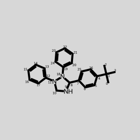 CC(C)(C)c1ccc(C2NCN(c3ccccc3)N2c2ccccc2)cc1